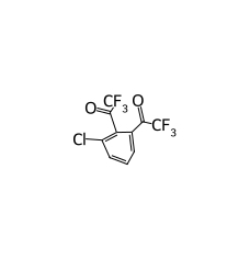 O=C(c1cccc(Cl)c1C(=O)C(F)(F)F)C(F)(F)F